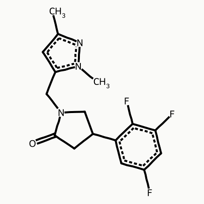 Cc1cc(CN2CC(c3cc(F)cc(F)c3F)CC2=O)n(C)n1